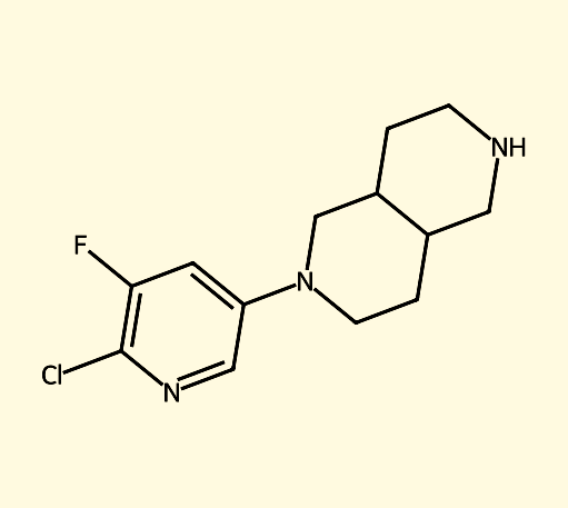 Fc1cc(N2CCC3CNCCC3C2)cnc1Cl